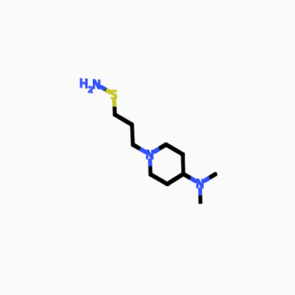 CN(C)C1CCN(CCCSN)CC1